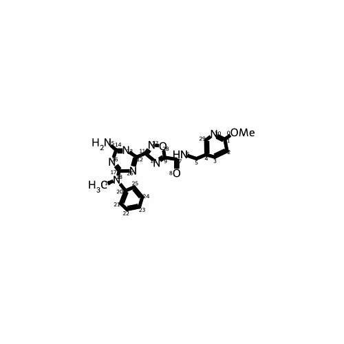 COc1ccc(CNC(=O)c2nc(-c3nc(N)nc(N(C)c4ccccc4)n3)no2)cn1